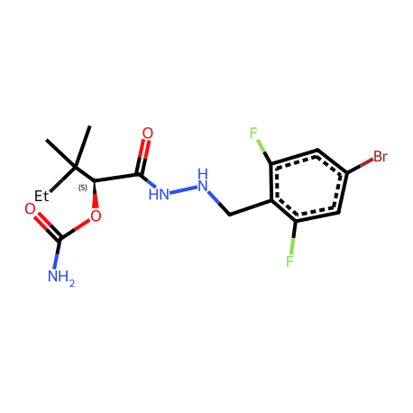 CCC(C)(C)[C@H](OC(N)=O)C(=O)NNCc1c(F)cc(Br)cc1F